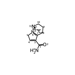 NC(=O)C1=CC[N+]2=C1C1CCN2CC1